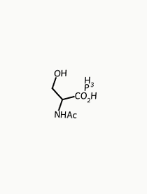 CC(=O)NC(CO)C(=O)O.P